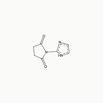 O=C1CCC(=O)N1c1ncc[nH]1